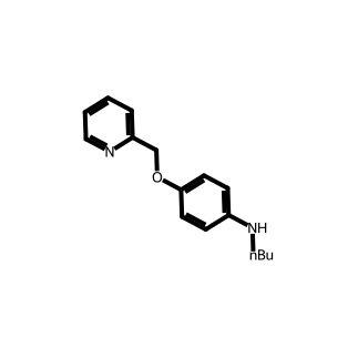 CCCCNc1ccc(OCc2ccccn2)cc1